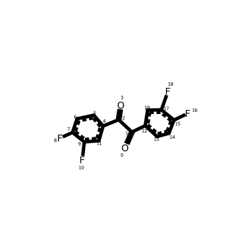 O=C(C(=O)c1ccc(F)c(F)c1)c1ccc(F)c(F)c1